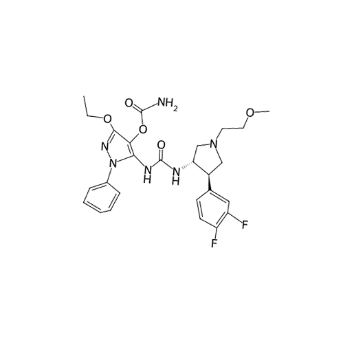 CCOc1nn(-c2ccccc2)c(NC(=O)N[C@@H]2CN(CCOC)C[C@H]2c2ccc(F)c(F)c2)c1OC(N)=O